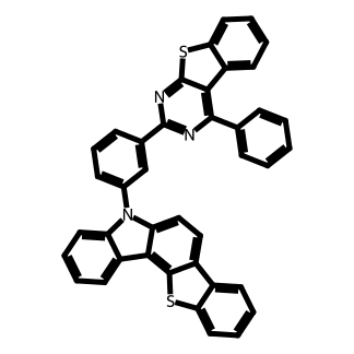 c1ccc(-c2nc(-c3cccc(-n4c5ccccc5c5c6sc7ccccc7c6ccc54)c3)nc3sc4ccccc4c23)cc1